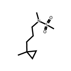 CN(CCCC1(C)CC1)S(C)(=O)=O